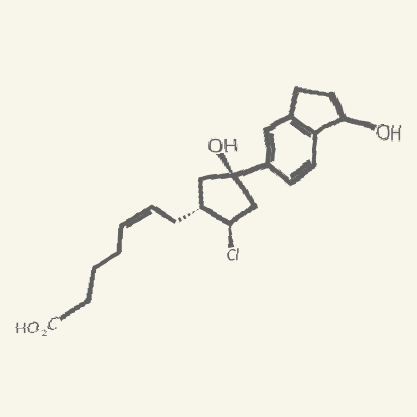 O=C(O)CCC/C=C\C[C@@H]1C[C@](O)(c2ccc3c(c2)CCC3O)C[C@H]1Cl